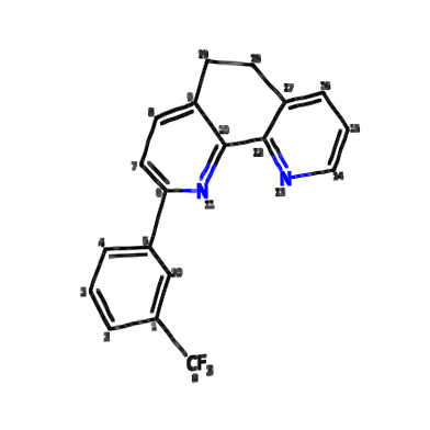 FC(F)(F)c1cccc(-c2ccc3c(n2)-c2ncccc2CC3)c1